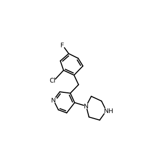 Fc1ccc(Cc2cnccc2N2CCNCC2)c(Cl)c1